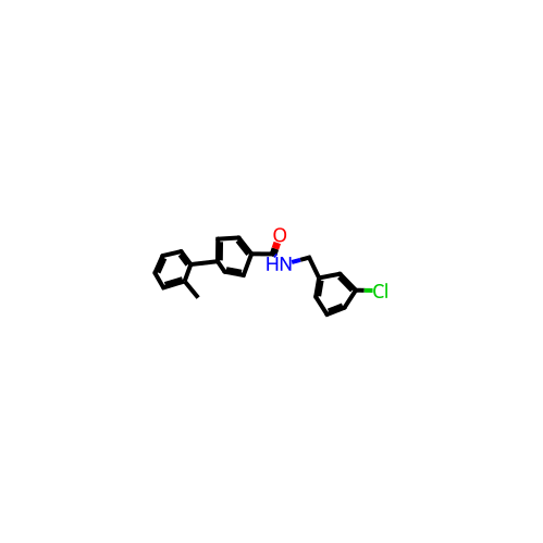 Cc1ccccc1-c1ccc(C(=O)NCc2cccc(Cl)c2)cc1